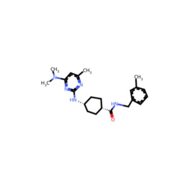 Cc1cccc(CNC(=O)[C@H]2CC[C@@H](Nc3nc(C)cc(N(C)C)n3)CC2)c1